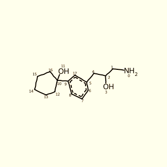 NCC(O)Cc1cccc(C2(O)CCCCC2)c1